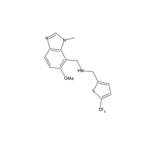 COc1ccc2ncn(C)c2c1CNCc1ccc(C(F)(F)F)s1